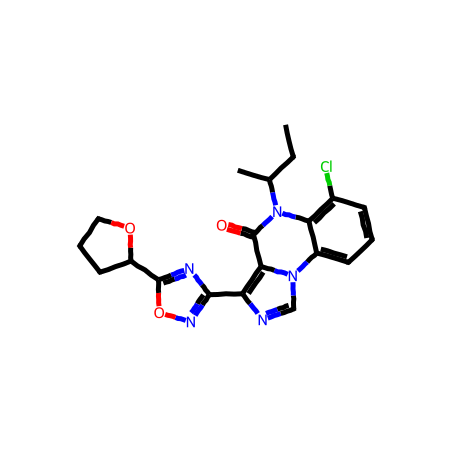 CCC(C)n1c(=O)c2c(-c3noc(C4CCCO4)n3)ncn2c2cccc(Cl)c21